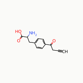 C#CCC(=O)c1ccc(CC(N)C(=O)O)cc1